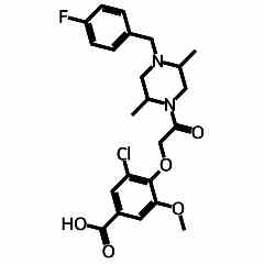 COc1cc(C(=O)O)cc(Cl)c1OCC(=O)N1CC(C)N(Cc2ccc(F)cc2)CC1C